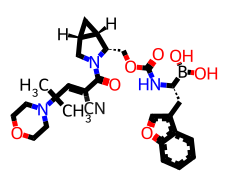 CC(C)(C=C(C#N)C(=O)N1C[C@@H]2C[C@@H]2[C@@H]1COC(=O)N[C@@H](Cc1coc2ccccc12)B(O)O)N1CCOCC1